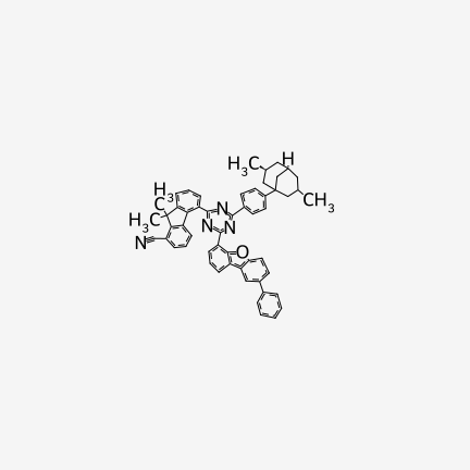 CC1C[C@@H]2C[C@H](C)CC(c3ccc(-c4nc(-c5cccc6c5-c5cccc(C#N)c5C6(C)C)nc(-c5cccc6c5oc5ccc(-c7ccccc7)cc56)n4)cc3)(C1)C2